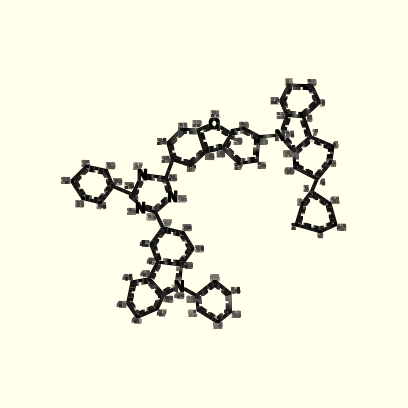 c1ccc(-c2ccc3c4ccccc4n(-c4ccc5c(c4)oc4ccc(-c6nc(-c7ccccc7)nc(-c7ccc8c(c7)c7ccccc7n8-c7ccccc7)n6)cc45)c3c2)cc1